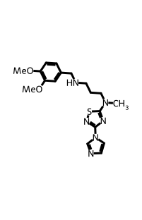 COc1ccc(CNCCCN(C)c2nc(-n3ccnc3)ns2)cc1OC